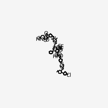 CC1CN(CC[C@H](CSc2ccccc2)Nc2ccc(S(=O)(=O)NC(=O)c3ccc(N4CCN(CC5=C(c6ccc(Cl)cc6)CCC(C)(C)C5)CC4)cc3)cc2S(=O)(=O)C(F)(F)F)CC(C)N1Cc1ccc2c(c1)C(=O)N(C1CCC(=O)NC1=O)C2=O